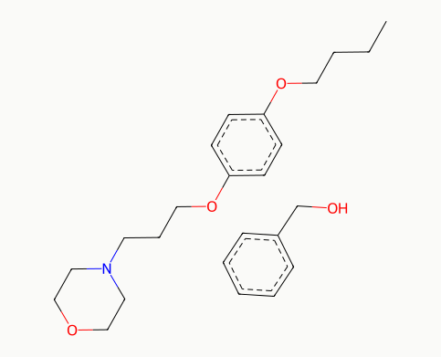 CCCCOc1ccc(OCCCN2CCOCC2)cc1.OCc1ccccc1